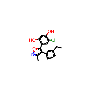 CCc1cccc(-c2c(C)noc2-c2cc(Cl)c(O)cc2O)c1